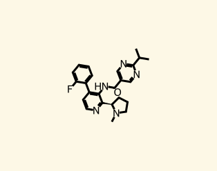 CC(C)c1ncc(C(=O)Nc2c(-c3ccccc3F)ccnc2[C@H]2CCCN2C)cn1